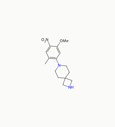 COc1cc(N2CCC3(CC2)CNC3)c(C)cc1[N+](=O)[O-]